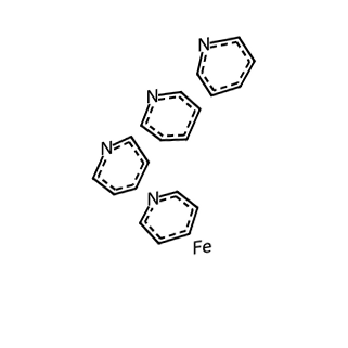 [Fe].c1ccncc1.c1ccncc1.c1ccncc1.c1ccncc1